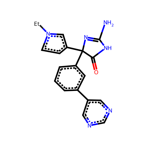 CCn1ccc(C2(c3cccc(-c4cncnc4)c3)N=C(N)NC2=O)c1